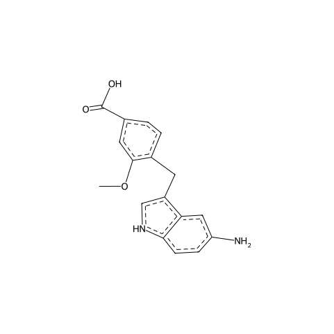 COc1cc(C(=O)O)ccc1Cc1c[nH]c2ccc(N)cc12